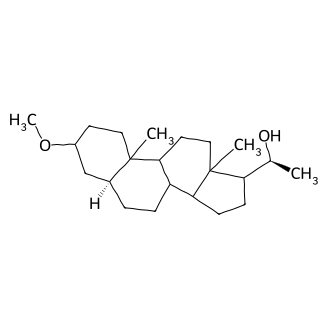 COC1CCC2(C)C3CCC4(C)C(CCC4[C@H](C)O)C3CC[C@H]2C1